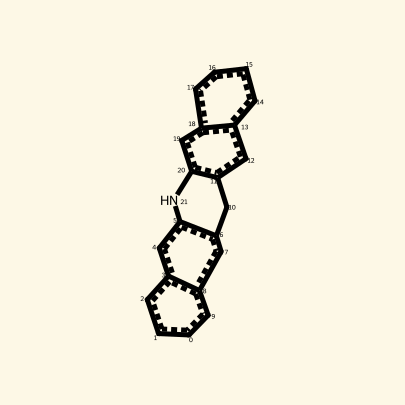 c1ccc2cc3c(cc2c1)Cc1cc2ccccc2cc1N3